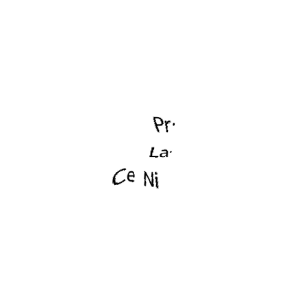 [Ce].[La].[Ni].[Pr]